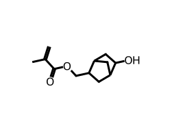 C=C(C)C(=O)OCC1CC2CC1CC2O